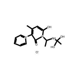 Cc1cc(O)n(C(C)NC(C)(O)O)c(=O)c1-[n+]1ccccc1.[Cl-]